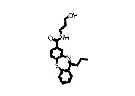 CCCC1=Nc2cc(C(=O)NCCCO)ccc2Sc2ccccc21